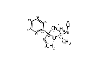 C=CC(C#N)(O[Si](C)(C)CCl)c1ccccc1